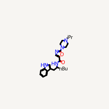 CCCCC(Cc1c[nH]c2ccccc12)NC(=O)c1cnc(N2CCN(C(C)C)CC2)o1